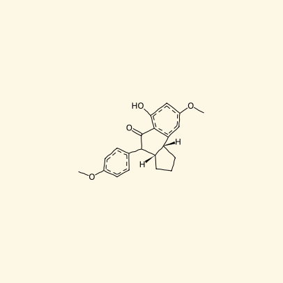 COc1ccc(C2C(=O)c3c(O)cc(OC)cc3[C@@H]3CCC[C@H]23)cc1